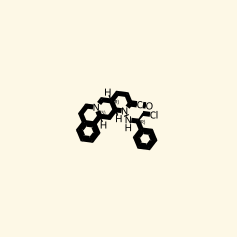 O=C=C1CC[C@@H]2CN3CCc4ccccc4[C@@H]3C[C@@H]2N1N[C@@H](CCl)c1ccccc1